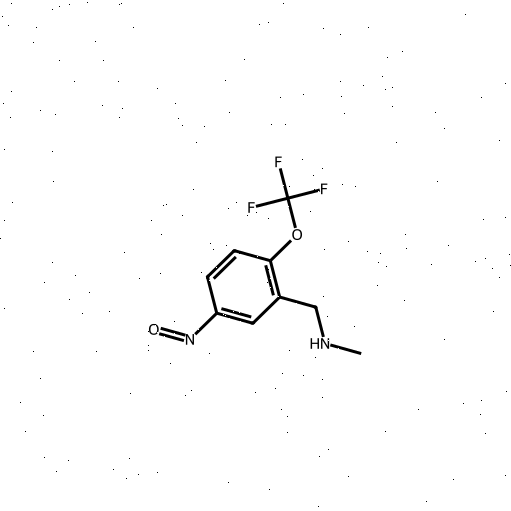 CNCc1cc(N=O)ccc1OC(F)(F)F